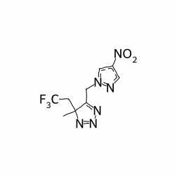 CC1(CC(F)(F)F)N=NN=C1Cn1cc([N+](=O)[O-])cn1